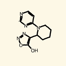 Oc1onnc1C1CCCCN1c1ccn[c]n1